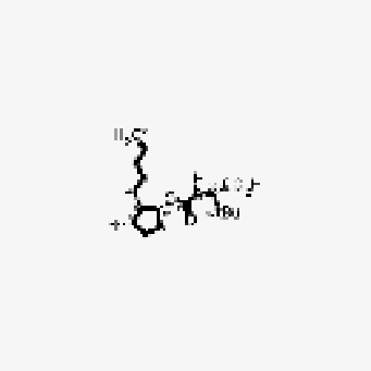 C=CCCC[C@@H]1[C@@H](I)CC[C@H]1OC(=O)N[C@H](C(=O)O)C(C)(C)C